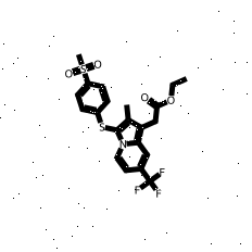 CCOC(=O)Cc1c(C)c(Sc2ccc(S(C)(=O)=O)cc2)n2ccc(C(F)(F)F)cc12